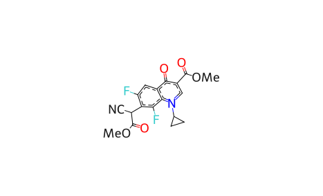 COC(=O)c1cn(C2CC2)c2c(F)c(C(C#N)C(=O)OC)c(F)cc2c1=O